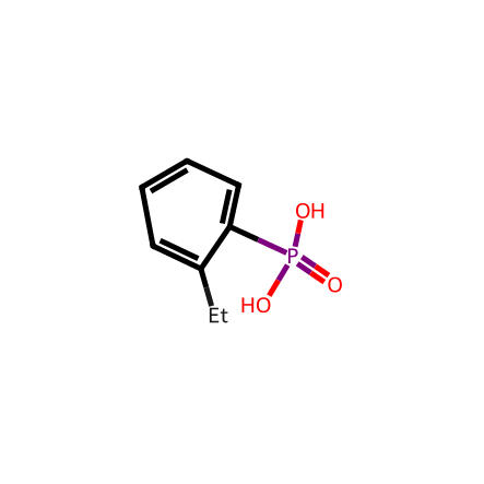 CCc1ccccc1P(=O)(O)O